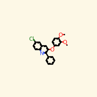 COc1ccc(Oc2cc3cc(Cl)ccc3nc2-c2ccccc2)cc1OC